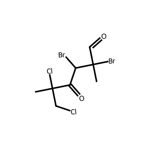 CC(Cl)(CCl)C(=O)C(Br)C(C)(Br)C=O